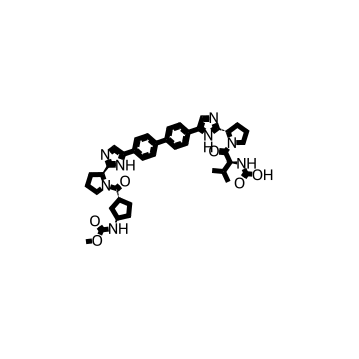 COC(=O)N[C@H]1CC[C@@H](C(=O)N2CCC[C@H]2c2ncc(-c3ccc(-c4ccc(-c5cnc([C@@H]6CCCN6C(=O)[C@@H](NC(=O)O)C(C)C)[nH]5)cc4)cc3)[nH]2)C1